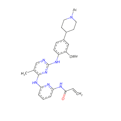 C=CC(=O)Nc1cccc(Nc2nc(Nc3ccc(C4CCN(C(C)=O)CC4)cc3OC)ncc2C)n1